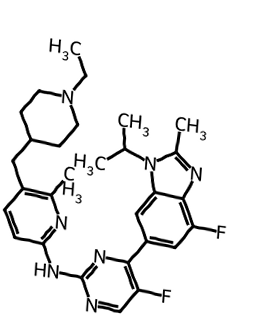 CCN1CCC(Cc2ccc(Nc3ncc(F)c(-c4cc(F)c5nc(C)n(C(C)C)c5c4)n3)nc2C)CC1